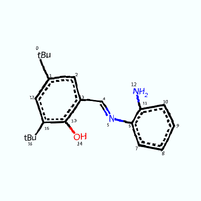 CC(C)(C)c1cc(C=Nc2ccccc2N)c(O)c(C(C)(C)C)c1